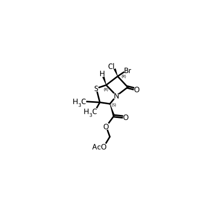 CC(=O)OCOC(=O)[C@@H]1N2C(=O)[C@@](Cl)(Br)[C@H]2SC1(C)C